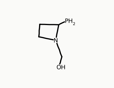 OCN1CCC1P